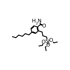 CCCCCCc1ccc(C(N)=O)c(CCC[Si](OCC)(OCC)OCC)c1